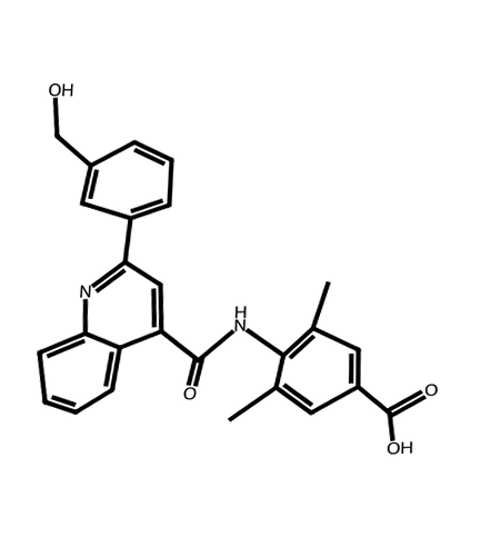 Cc1cc(C(=O)O)cc(C)c1NC(=O)c1cc(-c2cccc(CO)c2)nc2ccccc12